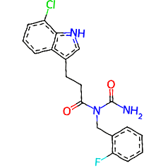 NC(=O)N(Cc1ccccc1F)C(=O)CCc1c[nH]c2c(Cl)cccc12